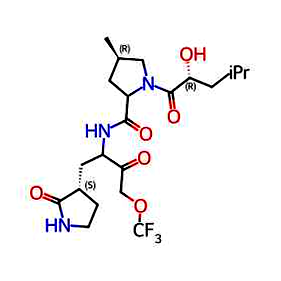 CC(C)C[C@@H](O)C(=O)N1C[C@H](C)CC1C(=O)NC(C[C@@H]1CCNC1=O)C(=O)COC(F)(F)F